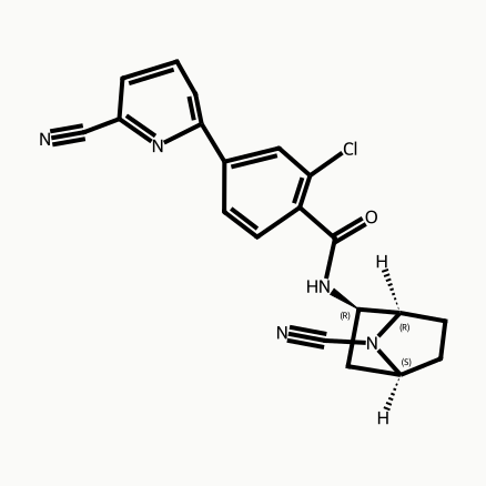 N#Cc1cccc(-c2ccc(C(=O)N[C@@H]3C[C@@H]4CC[C@H]3N4C#N)c(Cl)c2)n1